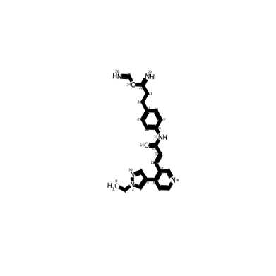 CCn1cc(-c2ccncc2/C=C/C(=O)Nc2ccc(CCC(=N)OC=N)cc2)cn1